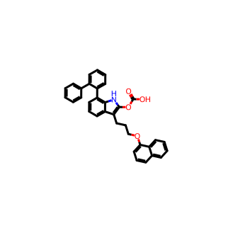 O=C(O)Oc1[nH]c2c(-c3ccccc3-c3ccccc3)cccc2c1CCCOc1cccc2ccccc12